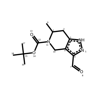 CC1Cc2[nH]nc(C=O)c2CN1C(=O)OC(C)(C)C